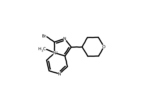 C[N+]12C=CN=CC1=C(C1CCOCC1)N=C2Br